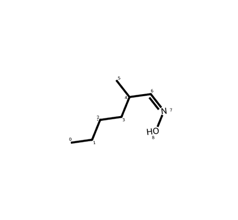 CC[CH]CC(C)/C=N\O